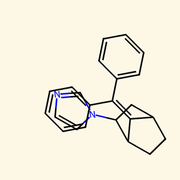 c1ccc(C(=C2C3CCC2C(n2ccnc2)C3)c2ccccc2)cc1